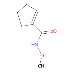 CONC(=O)C1=CCCC1